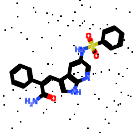 NC(=O)C(=Cc1c[nH]c2ncc(NS(=O)(=O)c3ccccc3)cc12)c1ccccc1